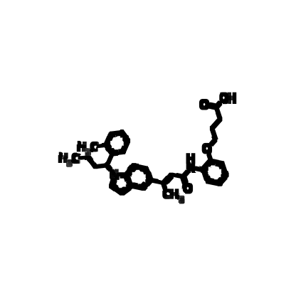 CCCC(c1ccccc1C)n1ccc2cc(C(C)=CC(=O)Nc3ccccc3OCCCC(=O)O)ccc21